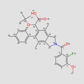 COc1cccc(C(=O)N2Cc3c(C)c(-c4ccc(C)cc4)c(C(OC(C)(C)C)C(=O)O)c(C)c3C2)c1F